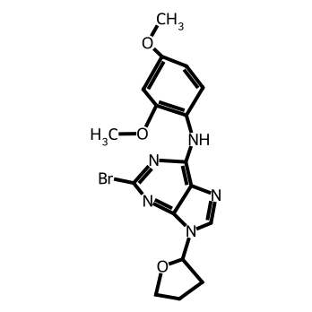 COc1ccc(Nc2nc(Br)nc3c2ncn3C2CCCO2)c(OC)c1